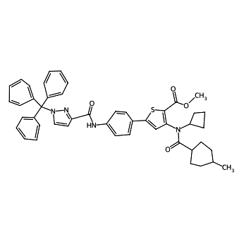 COC(=O)c1sc(-c2ccc(NC(=O)c3ccn(C(c4ccccc4)(c4ccccc4)c4ccccc4)n3)cc2)cc1N(C(=O)C1CCC(C)CC1)C1CCC1